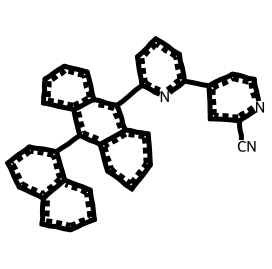 N#Cc1cc(-c2cccc(-c3c4ccccc4c(-c4cccc5ccccc45)c4ccccc34)n2)ccn1